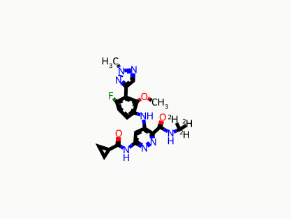 [2H]C([2H])([2H])NC(=O)c1nnc(NC(=O)C2CC2)cc1Nc1ccc(F)c(-c2cnn(C)n2)c1OC